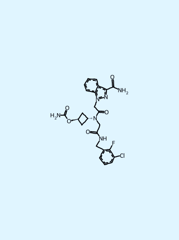 NC(=O)O[C@H]1C[C@H](N(CC(=O)NCc2cccc(Cl)c2F)C(=O)Cn2nc(C(N)=O)c3ccccc32)C1